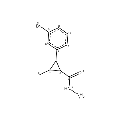 CC1C(C(=O)NN)C1c1cccc(Br)c1